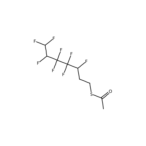 CC(=O)SCCC(F)C(F)(F)C(F)(F)C(F)C(F)F